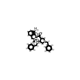 CC1(C)C2CCC13CS(=O)(=O)N(C(=O)C1CN(Cc4ccccc4)C[C@H]1OCc1ccccc1)C3C2